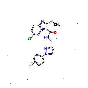 CCc1nc2ccc(Cl)cn2c1C(=O)NCc1ccn(-c2ccc(I)cc2)n1